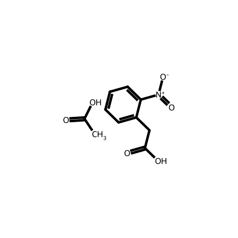 CC(=O)O.O=C(O)Cc1ccccc1[N+](=O)[O-]